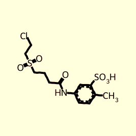 Cc1ccc(NC(=O)CCCS(=O)(=O)CCCl)cc1S(=O)(=O)O